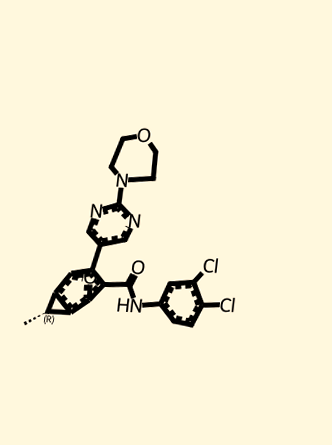 C[C@H]1c2c1c1oc2c(C(=O)Nc2ccc(Cl)c(Cl)c2)c1-c1cnc(N2CCOCC2)nc1